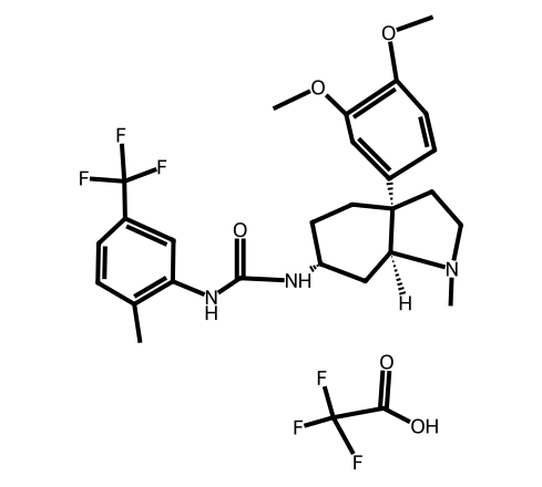 COc1ccc([C@@]23CC[C@@H](NC(=O)Nc4cc(C(F)(F)F)ccc4C)C[C@@H]2N(C)CC3)cc1OC.O=C(O)C(F)(F)F